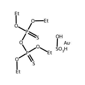 CCOP(=S)(OCC)OP(=S)(OCC)OCC.O=S(=O)(O)O.[Au]